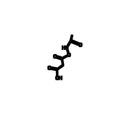 CC(=O)NOC(=O)CC(=O)O